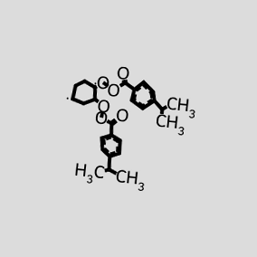 CC(C)c1ccc(C(=O)OO[C]2CC[CH]CC2OOC(=O)c2ccc(C(C)C)cc2)cc1